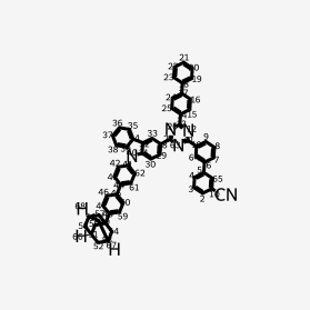 N#Cc1cccc(-c2cccc(-c3nc(-c4ccc(-c5ccccc5)cc4)nc(-c4ccc5c(c4)c4ccccc4n5-c4ccc(-c5ccc(C67C[C@H]8C[C@@H](C6)C[C@@H](C7)C8)cc5)cc4)n3)c2)c1